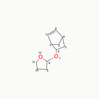 C1=CC2CC1CC2OC1CCCO1